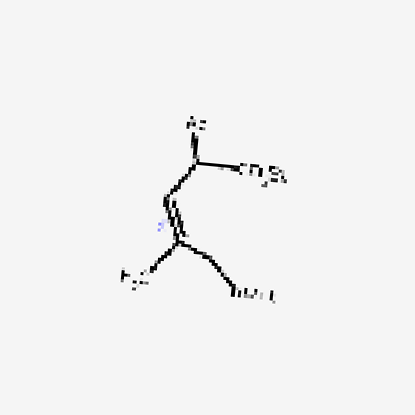 CCCCCCCCC/C(C)=C\C(C(C)=O)C(=O)OCC